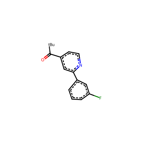 CC(C)(C)C(=O)c1ccnc(-c2cccc(F)c2)c1